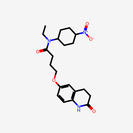 CCN(C(=O)CCCOc1ccc2c(c1)CCC(=O)N2)C1CCC([N+](=O)[O-])CC1